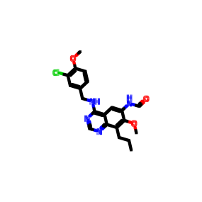 CCCc1c(OC)c(NC=O)cc2c(NCc3ccc(OC)c(Cl)c3)ncnc12